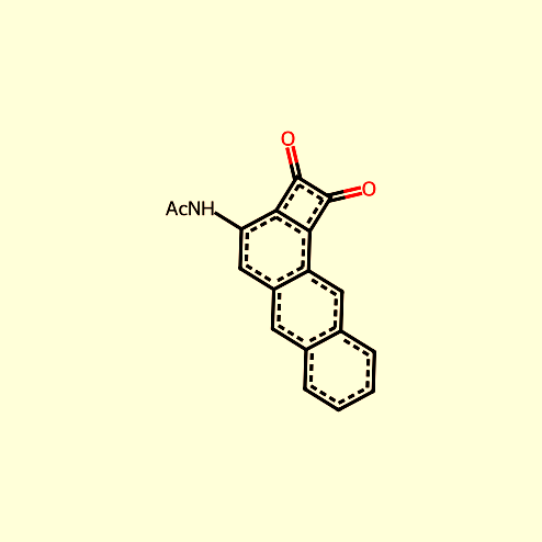 CC(=O)Nc1cc2cc3ccccc3cc2c2c(=O)c(=O)c12